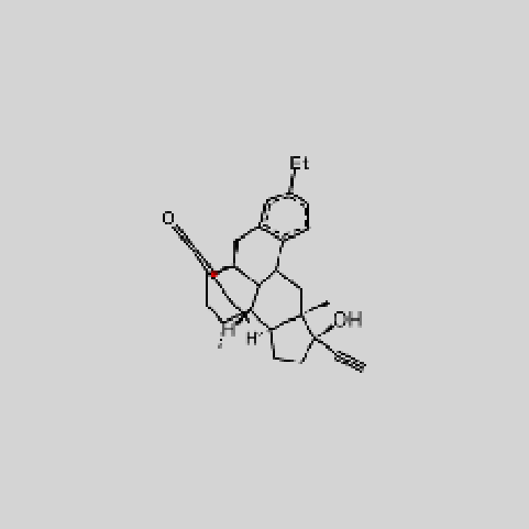 C#C[C@]1(O)CC[C@H]2[C@H]3C4C(C[C@@]21C)c1ccc(CC)cc1C[C@@]41CCC(=O)C=C1C[C@H]3C